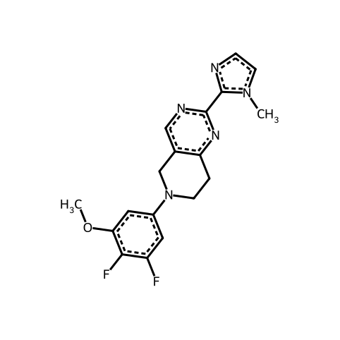 COc1cc(N2CCc3nc(-c4nccn4C)ncc3C2)cc(F)c1F